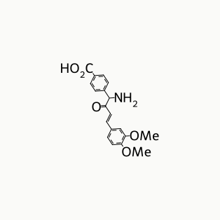 COc1ccc(C=CC(=O)C(N)c2ccc(C(=O)O)cc2)cc1OC